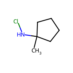 CC1(NCl)CCCC1